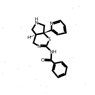 O=C(NC1=NC[C@H]2CNC[C@]2(c2ccccn2)S1)c1ccccc1